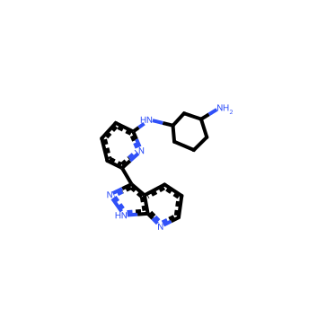 NC1CCCC(Nc2cccc(-c3n[nH]c4ncccc34)n2)C1